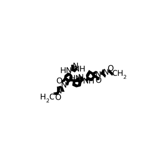 C=CC(=O)N1CC(N2Cc3ccc(Nc4n[nH]c5c(-c6cc(Nc7cn[nH]c7)cc7c6CN(C6CN(C(=O)C=C)C6)C7=O)cccc45)cc3C2=O)C1